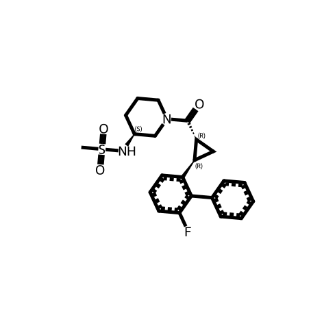 CS(=O)(=O)N[C@H]1CCCN(C(=O)[C@@H]2C[C@H]2c2cccc(F)c2-c2ccccc2)C1